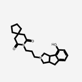 O=C1CC2(CCCC2)CC(=O)N1CCCN1CC2Cc3cccc(O)c3C2C1